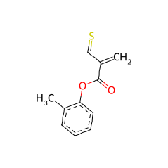 C=C(C=S)C(=O)Oc1ccccc1C